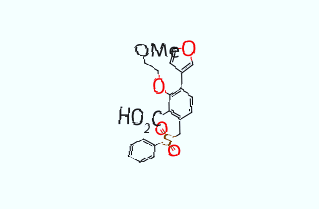 COCCOc1c(-c2ccoc2)ccc(CS(=O)(=O)c2ccccc2)c1C(=O)O